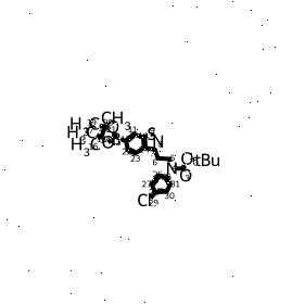 CC(C)(C)OC(=O)N(CCc1nsc2cc(B3OC(C)(C)C(C)(C)O3)ccc12)c1ccc(Cl)cc1